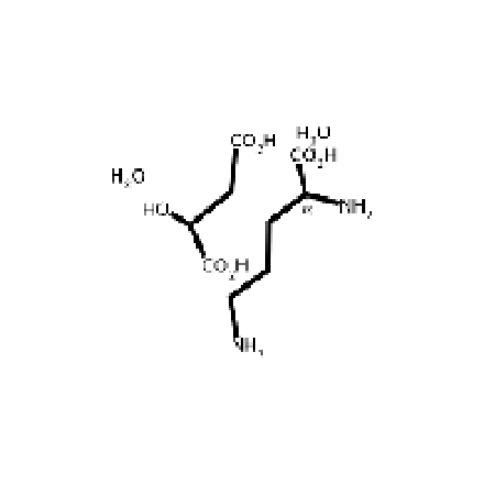 NCCC[C@H](N)C(=O)O.O.O.O=C(O)CC(O)C(=O)O